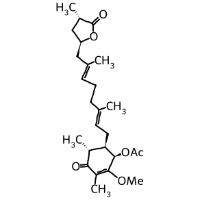 COC1=C(C)C(=O)[C@H](C)[C@@H](C/C=C(\C)CC/C=C(\C)C[C@H]2C[C@H](C)C(=O)O2)[C@H]1OC(C)=O